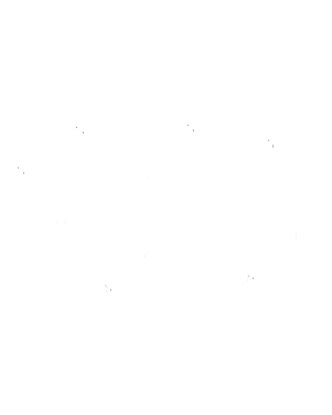 N#CC(C#N)=C1C2=C(/C=C/C(C#N)=C(/OC(F)(F)F)C(=C(C#N)C#N)/C=C/2)C(C#N)=C1OC(F)(F)F